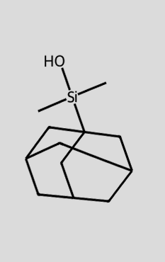 C[Si](C)(O)C12CC3CC(CC(C3)C1)C2